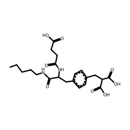 CCCCCNC(=O)C(Cc1ccc(CC(C(=O)O)C(=O)O)cc1)NC(=O)CCC(=O)O